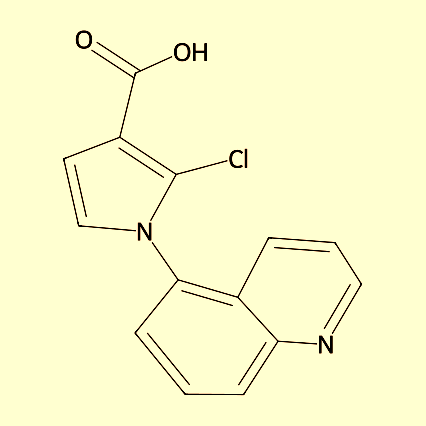 O=C(O)c1ccn(-c2cccc3ncccc23)c1Cl